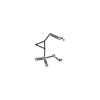 C=CC1CC1S(=O)(=O)OC(C)C